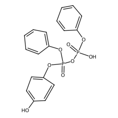 O=P(O)(Oc1ccccc1)OP(=O)(Oc1ccccc1)Oc1ccc(O)cc1